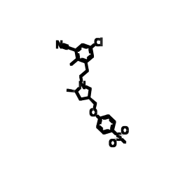 Cc1c(C#N)cc(Cl)cc1CCN1C[C@@H](COc2ccc(S(C)(=O)=O)cc2)C[C@H]1C